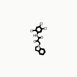 O=C(CN1CCc2ccccc21)C(=O)Nc1cc(Cl)c(Cl)cc1Cl